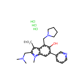 CCOC(=O)c1c(CN(C)C)n(C)c2cc(-c3cccnc3)c(O)c(CN3CCCC3)c12.Cl.Cl.Cl